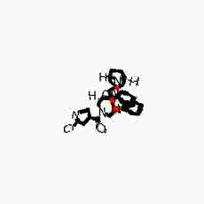 Cc1nc2ccccc2n1[C@H]1C[C@H]2CC[C@@H](C1)N2CCC1(c2ccccc2)CCN(C(=O)c2ccnc(Cl)c2)CC1